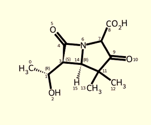 C[C@@H](O)[C@H]1C(=O)N2C(C(=O)O)C(=O)C(C)(C)[C@@H]12